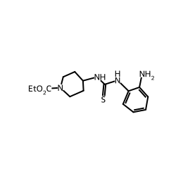 CCOC(=O)N1CCC(NC(=S)Nc2ccccc2N)CC1